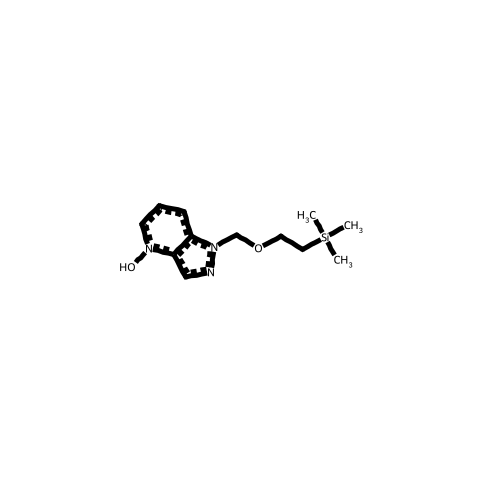 C[Si](C)(C)CCOCn1ncc2c1ccc[n+]2O